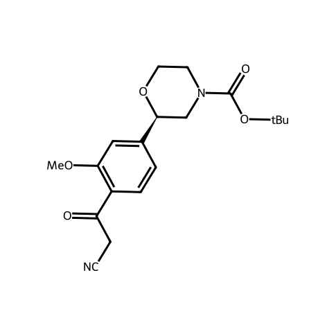 COc1cc([C@@H]2CN(C(=O)OC(C)(C)C)CCO2)ccc1C(=O)CC#N